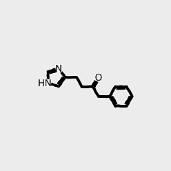 O=C(CCc1c[nH]cn1)Cc1ccccc1